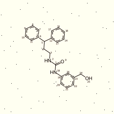 O=C(NCCC(c1ccccc1)c1ccccc1)Nc1cccc(CO)c1